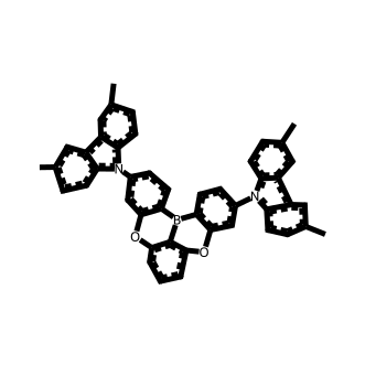 Cc1ccc2c(c1)c1cc(C)ccc1n2-c1ccc2c(c1)Oc1cccc3c1B2c1ccc(-n2c4ccc(C)cc4c4cc(C)ccc42)cc1O3